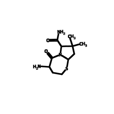 CC1(C)CC2SCCC(N)C(=O)N2C1C(N)=O